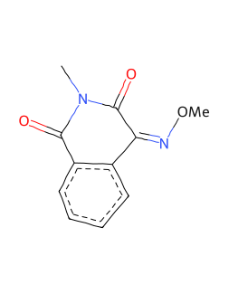 CON=C1C(=O)N(C)C(=O)c2ccccc21